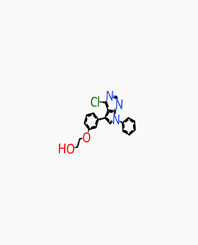 OCCOc1cccc(-c2cn(-c3ccccc3)c3ncnc(Cl)c23)c1